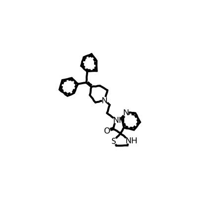 O=C(NCCN1CCC(=C(c2ccccc2)c2ccccc2)CC1)C1(c2cccnc2)NCCS1